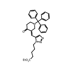 CCOC(=O)CCCCn1nncc1/C=C1\CN(C(c2ccccc2)(c2ccccc2)c2ccccc2)CCC1=O